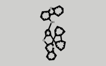 c1ccc2c(c1)-c1ccccc1C21c2cc(Nc3cccc4oc5ccccc5c34)ccc2Oc2cc3ccccc3cc21